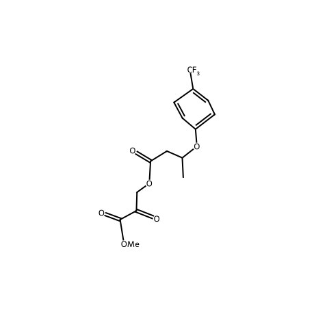 COC(=O)C(=O)COC(=O)CC(C)Oc1ccc(C(F)(F)F)cc1